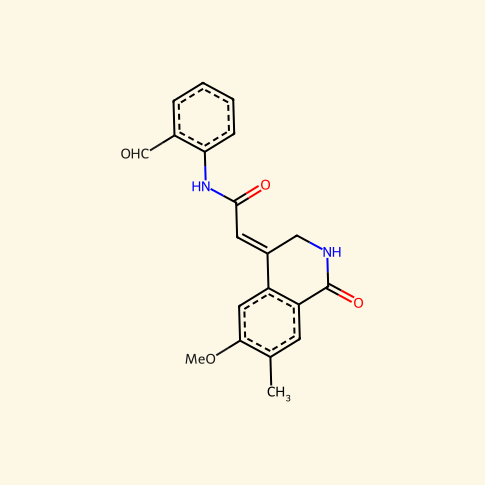 COc1cc2c(cc1C)C(=O)NC/C2=C\C(=O)Nc1ccccc1C=O